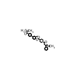 CN(C)C(=O)c1ccc(-c2ccc3c(c2)COC(C2CCN(C(=O)Cc4cn(C)c5ccccc45)CC2)O3)cc1